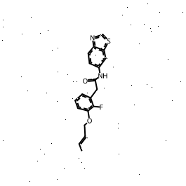 C/C=C/COc1cccc(CC(=O)Nc2ccc3ncsc3c2)c1F